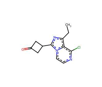 CCc1nc(C2CC(=O)C2)n2ccnc(Cl)c12